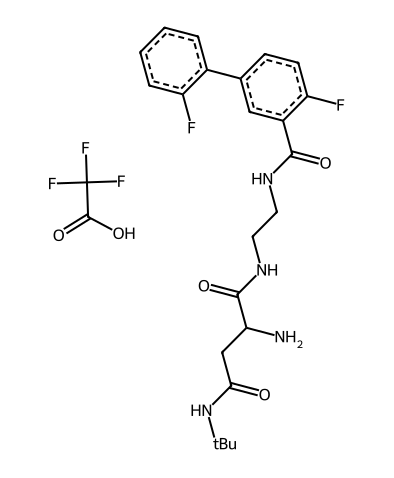 CC(C)(C)NC(=O)CC(N)C(=O)NCCNC(=O)c1cc(-c2ccccc2F)ccc1F.O=C(O)C(F)(F)F